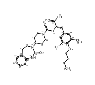 CCCCOc1c(C)cc(/C=C(\OC(=O)N2CCC(N3CCc4ccccc4NC3=O)CC2)C(=O)O)cc1C